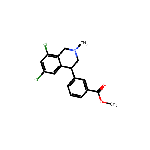 COC(=O)c1cccc(C2CN(C)Cc3c(Cl)cc(Cl)cc32)c1